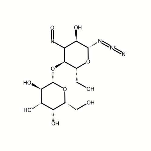 [N-]=[N+]=N[C@@H]1O[C@H](CO)[C@@H](O[C@@H]2O[C@H](CO)[C@H](O)[C@H](O)[C@H]2O)C(N=O)[C@H]1O